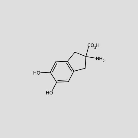 NC1(C(=O)O)Cc2cc(O)c(O)cc2C1